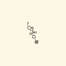 O=C(Nc1cnc2cc(CF)ccc2c1)c1ccc(N2CC3CCC(CC3)C2)cc1